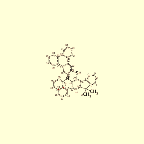 CC1(C)c2ccccc2-c2c1cc(-c1ccccc1)c1c2Sc2ccc(-c3ccccc3-c3ccccc3)cc2N1c1ccccc1